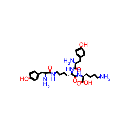 NCCCC[C@H](NC(=O)[C@H](CCCCNC(=O)[C@@H](N)Cc1ccc(O)cc1)NC(=O)[C@@H](N)Cc1ccc(O)cc1)C(=O)O